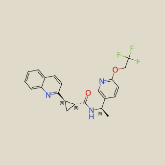 C[C@@H](NC(=O)[C@@H]1C[C@H]1c1ccc2ccccc2n1)c1ccc(OCC(F)(F)F)nc1